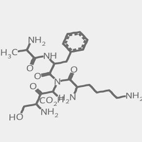 CC(N)C(=O)NC(Cc1ccccc1)C(=O)N(C(=O)C(N)CCCCN)C(C(=O)O)C(=O)C(N)CO